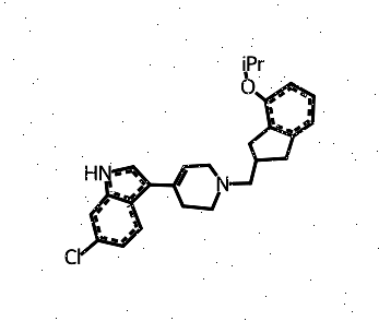 CC(C)Oc1cccc2c1CC(CN1CC=C(c3c[nH]c4cc(Cl)ccc34)CC1)C2